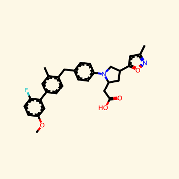 COc1ccc(F)c(-c2ccc(Cc3ccc(N4CC(c5cc(C)no5)CC4CC(=O)O)cc3)c(C)c2)c1